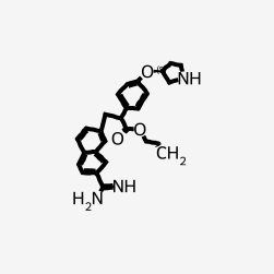 C=CCOC(=O)C(Cc1ccc2ccc(C(=N)N)cc2c1)c1ccc(O[C@H]2CCNC2)cc1